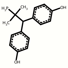 CC(C)(P)C(c1ccc(O)cc1)c1ccc(O)cc1